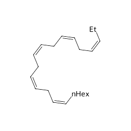 [CH2]CCCCC/C=C\C/C=C\C/C=C\C/C=C\C/C=C\CC